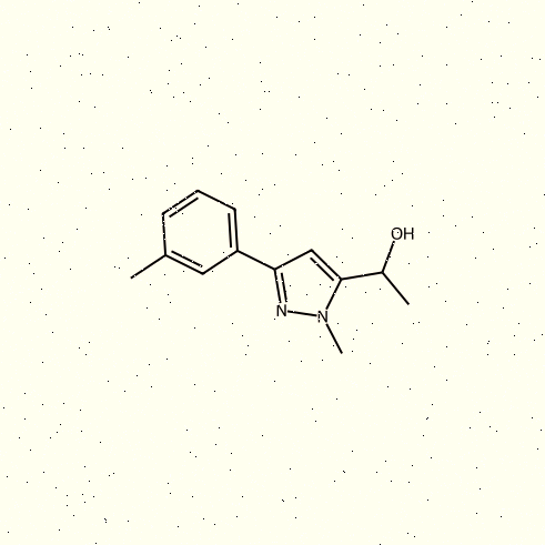 Cc1cccc(-c2cc(C(C)O)n(C)n2)c1